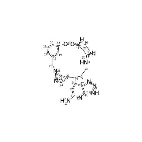 Nc1cc(C2CCN[C@H]3CC[C@@H](COc4cccc(c4)Cn4cc2cn4)C3)c2nn[nH]c2n1